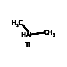 [CH3][AlH][CH3].[Ti]